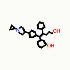 OCCC/C(=C(/c1ccc(C2=CCN(C3CC3)CC2)cc1)c1cccc(O)c1)c1ccccc1